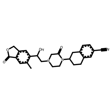 Cc1cc2c(cc1C(O)CN1CCN(C3CCc4cc(C#N)ccc4C3)C(=O)C1)COC2=O